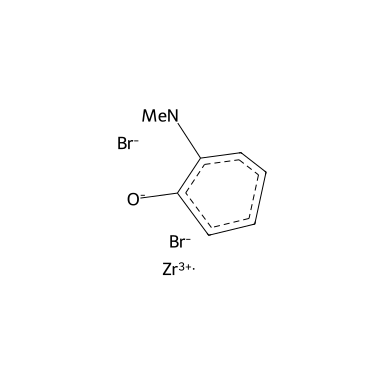 CNc1ccccc1[O-].[Br-].[Br-].[Zr+3]